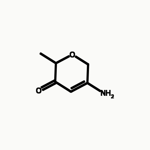 CC1OCC(N)=CC1=O